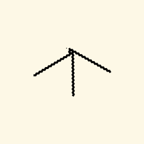 [CH2]c1cc(CCCCCCCCCCCCCCCCCCCCCCCC)c(CCCCCCCCCCCCCCCCCCCCCCCC)c(CCCCCCCCCCCCCCCCCCCCCCCC)c1